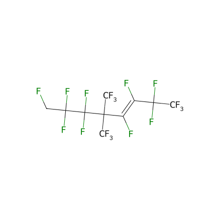 FCC(F)(F)C(F)(F)C(C(F)=C(F)C(F)(F)C(F)(F)F)(C(F)(F)F)C(F)(F)F